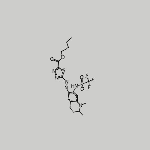 CCCCOC(=O)c1nnc(N=Nc2cc3c(cc2NS(=O)(=O)C(F)(F)F)N(C)C(C)CC3)s1